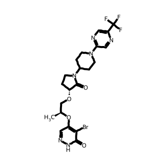 C[C@@H](CO[C@@H]1CCN(C2CCN(c3cnc(C(F)(F)F)cn3)CC2)C1=O)Oc1cn[nH]c(=O)c1Br